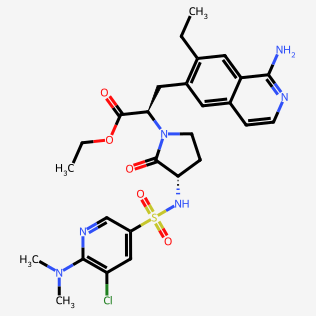 CCOC(=O)[C@@H](Cc1cc2ccnc(N)c2cc1CC)N1CC[C@H](NS(=O)(=O)c2cnc(N(C)C)c(Cl)c2)C1=O